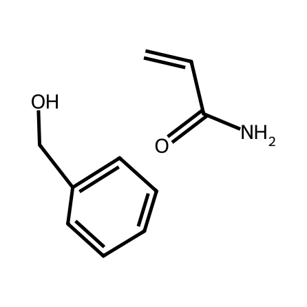 C=CC(N)=O.OCc1ccccc1